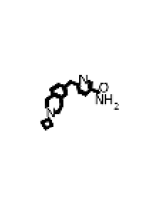 NC(=O)c1ccc(Cc2ccc3c(c2)CCN(C2CCC2)CC3)nc1